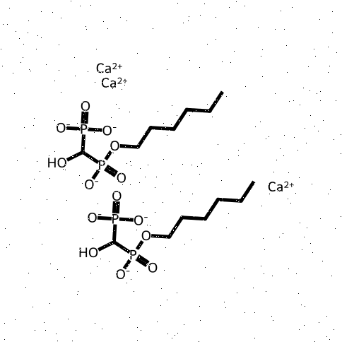 CCCCCCOP(=O)([O-])C(O)P(=O)([O-])[O-].CCCCCCOP(=O)([O-])C(O)P(=O)([O-])[O-].[Ca+2].[Ca+2].[Ca+2]